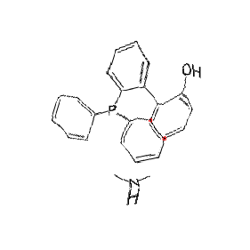 CNC.Oc1ccccc1-c1ccccc1P(c1ccccc1)c1ccccc1